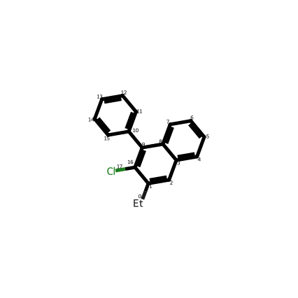 CCc1cc2ccccc2c(-c2ccccc2)c1Cl